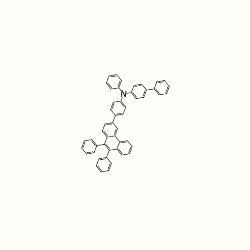 c1ccc(-c2ccc(N(c3ccccc3)c3ccc(-c4ccc5c(-c6ccccc6)c(-c6ccccc6)c6ccccc6c5c4)cc3)cc2)cc1